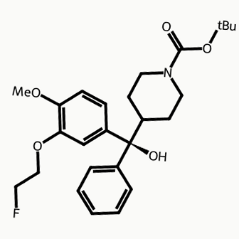 COc1ccc([C@@](O)(c2ccccc2)C2CCN(C(=O)OC(C)(C)C)CC2)cc1OCCF